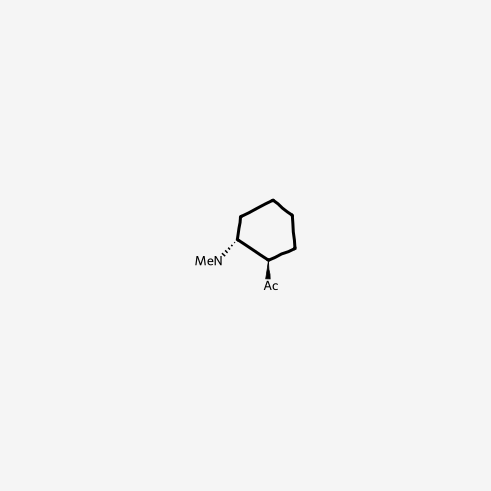 CN[C@@H]1CCCC[C@H]1C(C)=O